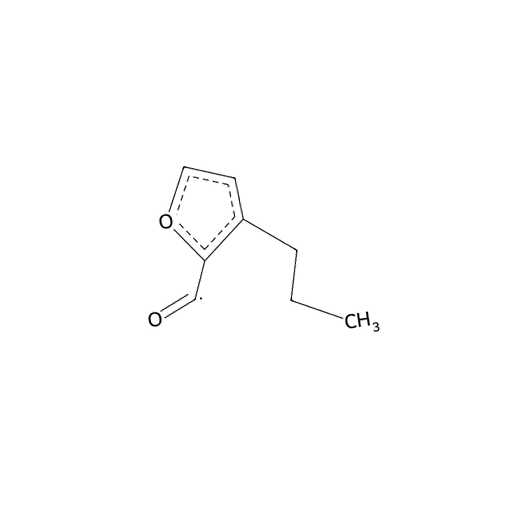 CCCc1ccoc1[C]=O